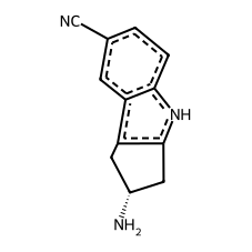 N#Cc1ccc2[nH]c3c(c2c1)C[C@@H](N)C3